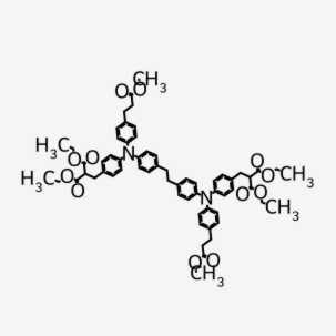 CCOC(=O)C(Cc1ccc(N(c2ccc(CCC(=O)OC)cc2)c2ccc(CCc3ccc(N(c4ccc(CCC(=O)OC)cc4)c4ccc(CC(C(=O)OCC)C(=O)OCC)cc4)cc3)cc2)cc1)C(=O)OCC